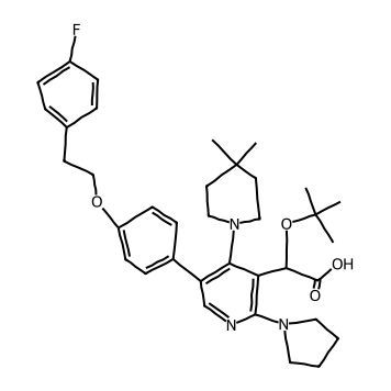 CC1(C)CCN(c2c(-c3ccc(OCCc4ccc(F)cc4)cc3)cnc(N3CCCC3)c2C(OC(C)(C)C)C(=O)O)CC1